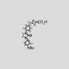 CCCCc1ccc(N2CCN(c3ccc(CC4CC(C(=O)O)C4)cc3)C2=O)cc1